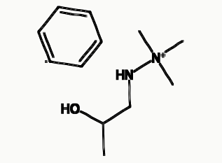 CC(O)CN[N+](C)(C)C.[c]1ccccc1